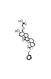 C[C@]1(C(=O)OCc2ccccc2)CC[C@]2(C)CC[C@]3(C)C(=CC(=O)[C@@H]4[C@@]5(C)CC[C@H](O)[C@@](C)(COCC(=O)O)C5CC[C@]43C)[C@@H]2C1